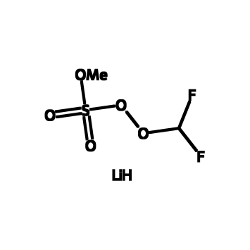 COS(=O)(=O)OOC(F)F.[LiH]